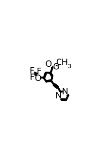 COC(=O)c1cc(C#Cc2ncccn2)cc(OC(F)(F)F)c1